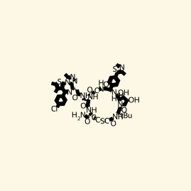 Cc1ncsc1-c1ccc(C2NC(O)[C@@H]3C[C@@H](O)CN3C(=O)[C@H](C(C)(C)C)NC(=O)CSCC[C@H](C(N)=O)NC(=O)[C@@H](CNC(=O)C[C@@H]3N=C(c4ccc(Cl)cc4)c4c(sc(C)c4C)-n4c(C)nnc43)NC(=O)CNC2=O)cc1